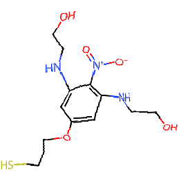 O=[N+]([O-])c1c(NCCO)cc(OCCS)cc1NCCO